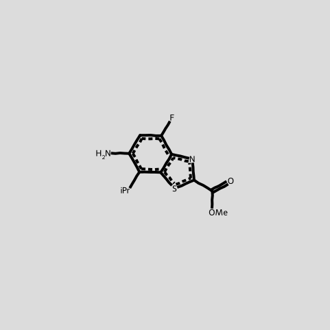 COC(=O)c1nc2c(F)cc(N)c(C(C)C)c2s1